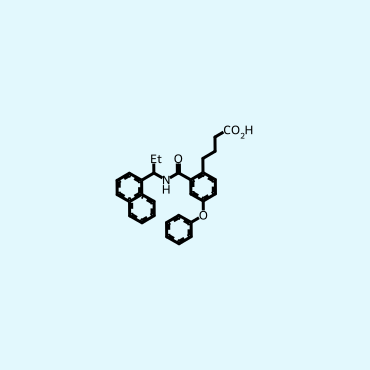 CCC(NC(=O)c1cc(Oc2ccccc2)ccc1CCCC(=O)O)c1cccc2ccccc12